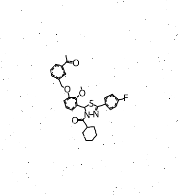 COc1c(OCc2cccc(C(C)=O)c2)cccc1C1SC(c2ccc(F)cc2)=NN1C(=O)C1CCCCC1